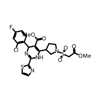 COC(=O)CS(=O)(=O)N1CCC(C2=C(C(=O)OC)C(c3ccc(F)cc3Cl)N=C(c3nccs3)N2)C1